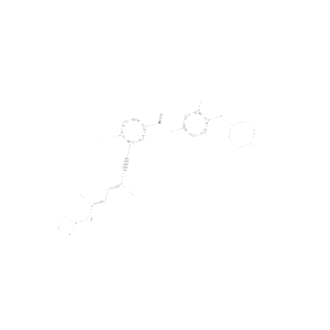 Cc1ccc(C(=O)Nc2ccc(CN3CCN(C)CC3)c(C(F)(F)F)c2)cc1C#C/C(N)=C/C=C(\N)NC1CCC1